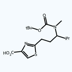 CC(C)C(CCc1nc(C(=O)O)cs1)N(C)C(=O)OC(C)(C)C